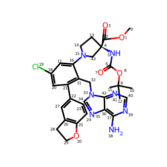 COC(=O)[C@@]1(NC(=O)OC(C)(C)C)CCN(c2cc(Cl)cc(-c3ccc4c(c3)CCO4)c2Cn2cnc3c(N)ncnc32)C1